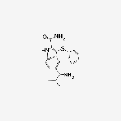 CC(C)C(N)c1ccc2[nH]c(C(N)=O)c(Sc3ccccc3)c2c1